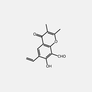 C=Cc1cc2c(=O)c(C)c(C)oc2c(C=O)c1O